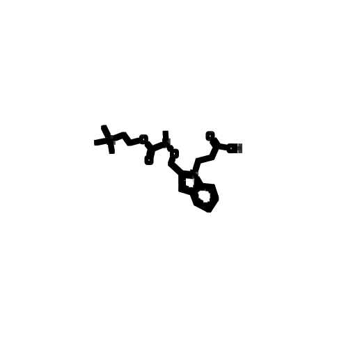 CN(OCc1cc2ccccc2n1CCC(=O)O)C(=O)OCC[Si](C)(C)C